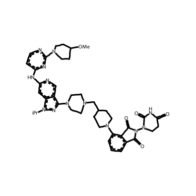 COC1CCN(c2nccc(Nc3cc4c(cn3)c(N3CCN(CC5CCN(c6cccc7c6C(=O)N(N6CCC(=O)NC6=O)C7=O)CC5)CC3)nn4C(C)C)n2)CC1